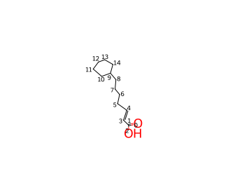 O=C(O)C=CCCCCC1CCCCC1